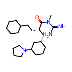 CN(C(=N)N)C(=O)[C@@H](CCC1CCCCC1)C[C@@H]1CCC[C@@H](N2CCCC2)C1